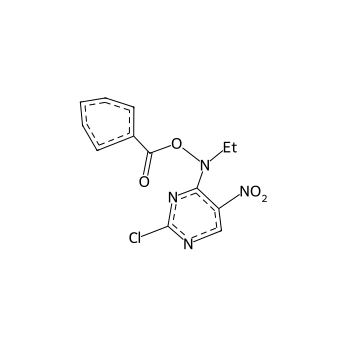 CCN(OC(=O)c1ccccc1)c1nc(Cl)ncc1[N+](=O)[O-]